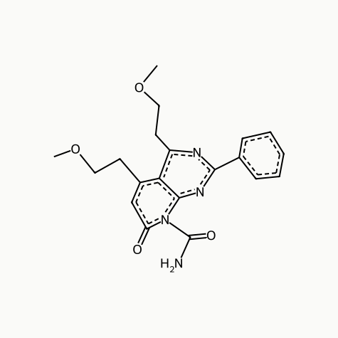 COCCc1cc(=O)n(C(N)=O)c2nc(-c3ccccc3)nc(CCOC)c12